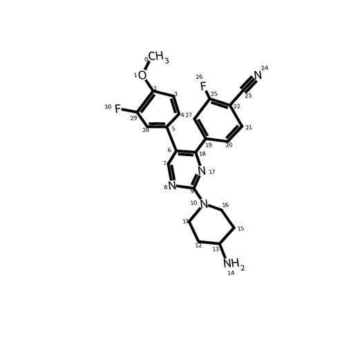 COc1ccc(-c2cnc(N3CCC(N)CC3)nc2-c2ccc(C#N)c(F)c2)cc1F